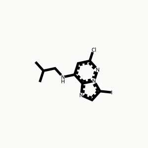 CC(C)CNc1cc(Cl)nn2c(I)cnc12